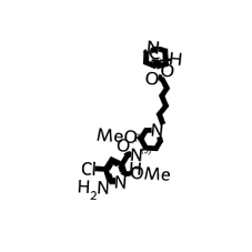 COc1nc(N)c(Cl)cc1C(=O)N[C@H]1CCN(CCCCCC(=O)O[C@H]2CN3CCC2CC3)C[C@H]1OC